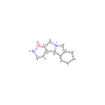 c1ccc2c(c1)cn1cc3onccc3c21